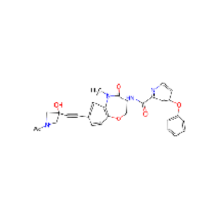 CC(=O)N1CC(O)(C#Cc2ccc3c(c2)N(C)C(=O)C(NC(=O)c2cc(Oc4ccccc4)ccn2)CO3)C1